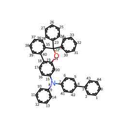 c1ccc(-c2ccc(N(c3ccccc3)c3ccc4c(c3)OC(c3ccccc3)(c3ccccc3)c3ccccc3-4)cc2)cc1